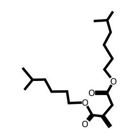 C=C(CC(=O)OCCCCC(C)C)C(=O)OCCCCC(C)C